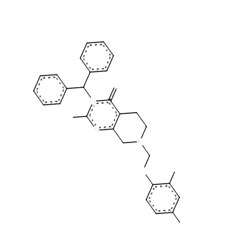 Cc1ccc(OCN2CCc3c(nc(C)n(C(c4ccccc4)c4ccccc4)c3=O)C2)c(Cl)c1